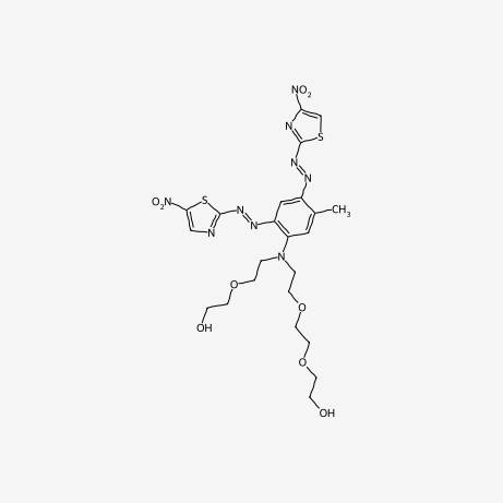 Cc1cc(N(CCOCCO)CCOCCOCCO)c(/N=N/c2ncc([N+](=O)[O-])s2)cc1/N=N/c1nc([N+](=O)[O-])cs1